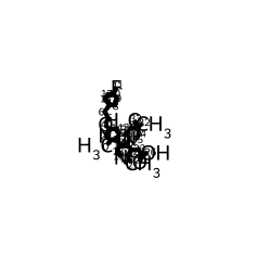 Cc1nc(OCCc2ccc(F)cc2)ccc1-c1cnc(C)c(CC(=O)O)c1N1CCC(C)(C)CC1